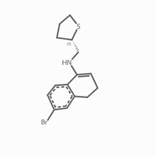 Brc1ccc2c(c1)CCC=C2NC[C@@H]1CCCS1